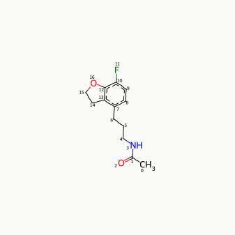 CC(=O)NCCCc1ccc(F)c2c1CCO2